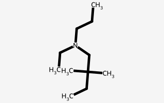 CCCN(CC)CC(C)(C)CC